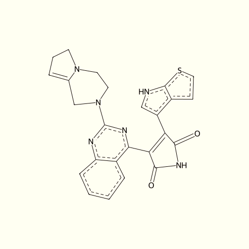 O=C1NC(=O)C(c2c[nH]c3sccc23)=C1c1nc(N2CCN3CCC=C3C2)nc2ccccc12